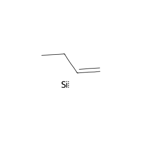 C=CCC.[Si]